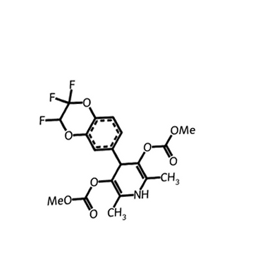 COC(=O)OC1=C(C)NC(C)=C(OC(=O)OC)C1c1ccc2c(c1)OC(F)C(F)(F)O2